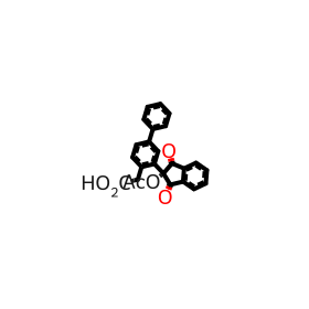 CC(=O)OC1(c2cc(-c3ccccc3)ccc2CC(=O)O)C(=O)c2ccccc2C1=O